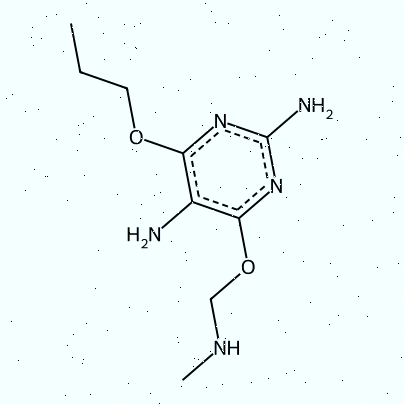 CCCOc1nc(N)nc(OCNC)c1N